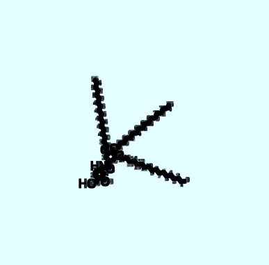 CCCCCCCCCCCCCCCCCCOC1CC(C(=O)Nc2ccc(CO)c(OC)c2)CC(OCCCCCCCCCCCCCCCCCC)C1OCCCCCCCCCCCCCCCCCC